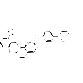 CC(C)S(=O)(=O)c1cccc(F)c1Cn1c(=O)ccc2cnc(Nc3ccc(N4CCN(C)CC4)cc3)nc21